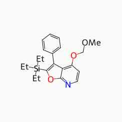 CC[Si](CC)(CC)c1oc2nccc(OCOC)c2c1-c1ccccc1